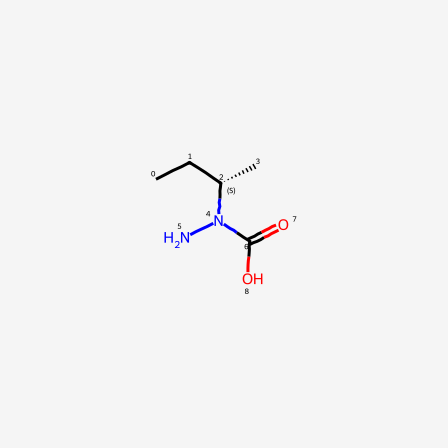 CC[C@H](C)N(N)C(=O)O